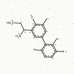 Cc1cc(-c2c(C)ccc(F)c2C)cc(C(N)CC(=O)O)c1F